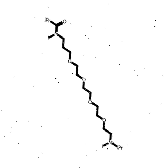 CC(C)C(=O)N(I)CCCOCCOCCOCCOCCN(I)C(C)C